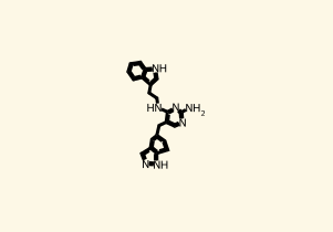 Nc1ncc(Cc2ccc3[nH]ncc3c2)c(NCCc2c[nH]c3ccccc23)n1